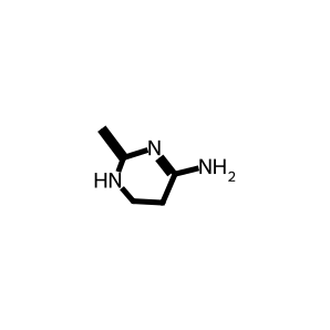 C=C1N=C(N)CCN1